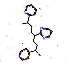 CC(CCC(CCC(C)c1ccccn1)c1ncccn1)c1ccncc1